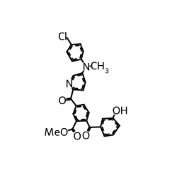 COC(=O)c1cc(C(=O)c2ccc(N(C)c3ccc(Cl)cc3)cn2)ccc1C(=O)c1cccc(O)c1